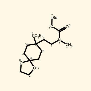 CCOC(=O)C1(CCN(C)C(=O)OC(C)(C)C)CCC2(CC1)OCCO2